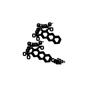 O=S(=O)([O-])c1cc2cc3ccccc3cc2c(S(=O)(=O)[O-])c1S(=O)(=O)[O-].O=S(=O)([O-])c1cc2cc3ccccc3cc2c(S(=O)(=O)[O-])c1S(=O)(=O)[O-].[Ca+2].[Ca+2].[Ca+2]